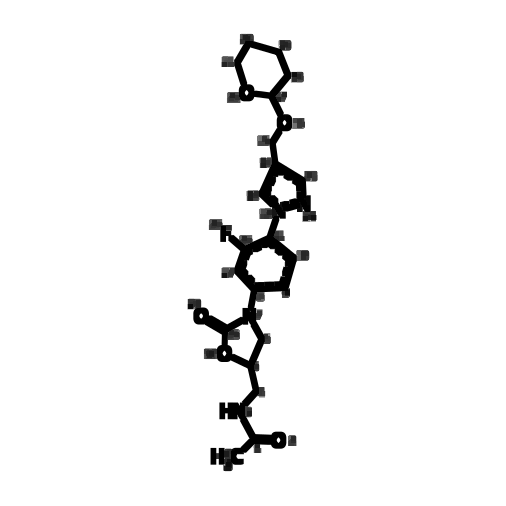 CC(=O)NCC1CN(c2ccc(-n3cc(COC4CCCCO4)cn3)c(F)c2)C(=O)O1